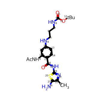 CC(=O)Nc1cc(NCCCNC(=O)OC(C)(C)C)ccc1C(=O)Nc1nc(C)c(N)s1